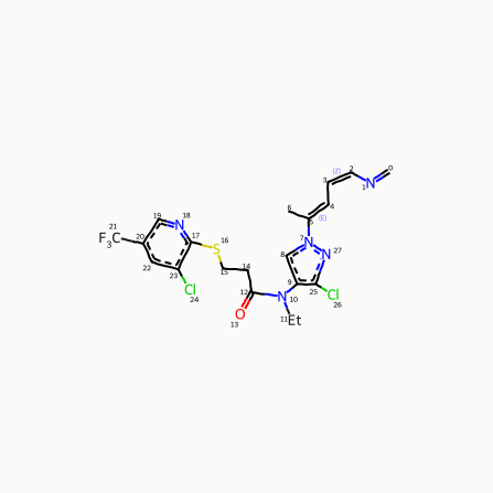 C=N/C=C\C=C(/C)n1cc(N(CC)C(=O)CCSc2ncc(C(F)(F)F)cc2Cl)c(Cl)n1